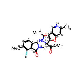 COC(=O)N[C@](CN1Cc2ccc(OC)c(F)c2C1=O)(C(=O)OC)c1cc2cnc(C)cc2o1